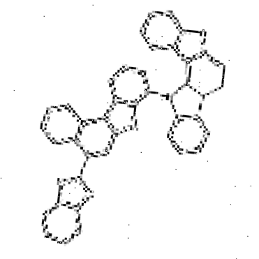 C1=c2oc3ccccc3c2=C2C(C1)c1ccccc1N2c1cccc2c1sc1cc(-c3nc4ccccc4o3)c3ccccc3c12